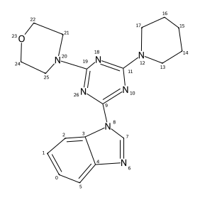 c1ccc2c(c1)ncn2-c1nc(N2CCCCC2)nc(N2CCOCC2)n1